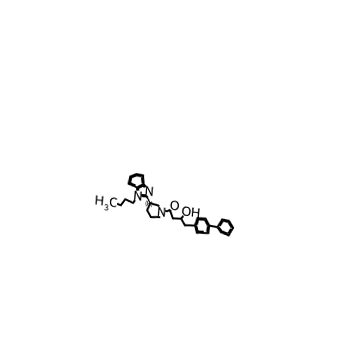 CCCCn1c([C@@H]2CCCN(C(=O)CC(O)Cc3ccc(-c4ccccc4)cc3)C2)nc2ccccc21